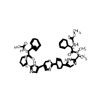 COC(=O)N[C@@H](C(=O)N(C)[C@@H](C)c1ncc(-c2ccc(-c3ncc(-c4cnc([C@@H]5CCCN5C(=O)[C@H](NC(=O)O)c5ccccc5)[nH]4)cn3)cc2)[nH]1)c1ccccc1